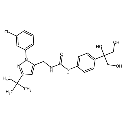 CC(C)(C)c1cc(CNC(=O)Nc2ccc(C(O)(CO)CO)cc2)n(-c2cccc(Cl)c2)n1